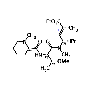 CCOC(=O)/C(C)=C/[C@H](C(C)C)N(C)C(=O)[C@@H](NC(=O)[C@H]1CCCCN1C)[C@@H](C)OC